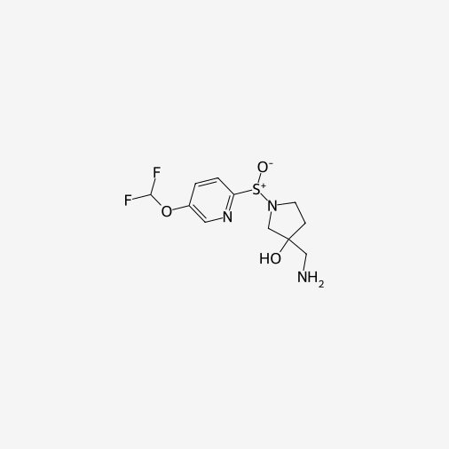 NCC1(O)CCN([S+]([O-])c2ccc(OC(F)F)cn2)C1